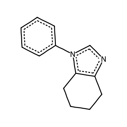 c1ccc(-n2cnc3c2CCCC3)cc1